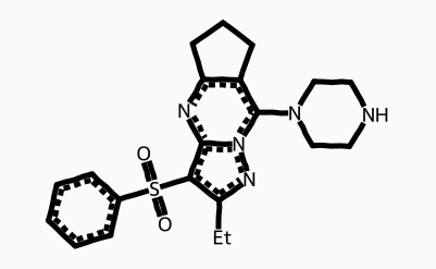 CCc1nn2c(N3CCNCC3)c3c(nc2c1S(=O)(=O)c1ccccc1)CCC3